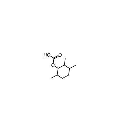 CC1CCC(C)C(OC(=O)O)C1C